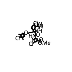 COC(=O)c1cc(Cl)nc(NC(=O)c2[nH]c3c(-c4c(C)nn(C)c4C)c(Cl)ccc3c2CCCOc2cc(C)c(Cl)c(C)c2)c1